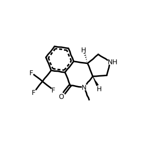 CN1C(=O)c2c(cccc2C(F)(F)F)[C@H]2CNC[C@@H]21